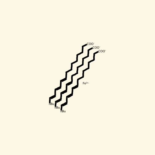 CCCCC=CC=CC=CCCCCCCCC(=O)[O-].CCCCC=CC=CC=CCCCCCCCC(=O)[O-].CCCCC=CC=CC=CCCCCCCCC(=O)[O-].[Fe+3]